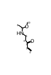 C=CC(=O)CCNC(C)OC